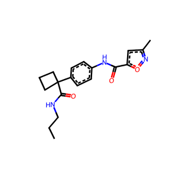 CCCNC(=O)C1(c2ccc(NC(=O)c3cc(C)no3)cc2)CCC1